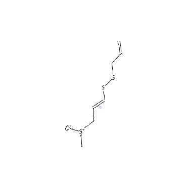 C=CCSS/C=C/C[S+](C)[O-]